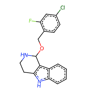 Fc1cc(Cl)ccc1COC1NCCc2[nH]c3ccccc3c21